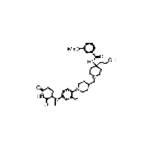 COc1cccc(C(=O)NC2(CCO)CCN(CC3CCN(c4ccc(NC5CCC(=O)NC5=O)cc4F)CC3)CC2)c1